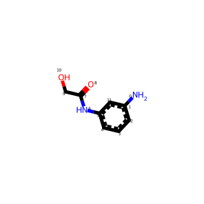 Nc1cccc(NC(=O)CO)c1